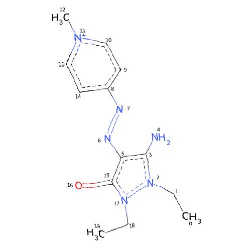 CCn1c(N)c(/N=N/c2cc[n+](C)cc2)c(=O)n1CC